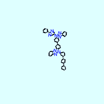 c1ccc(-c2ccc(-c3cccc(-n4c5ccc(-c6ccc7c(c6)n6c8ccccc8nc6n7-c6cnc(-c7ccccc7)nc6)cc5n5c6ccccc6nc45)c3)cc2)cc1